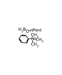 BOCCCCC.C[N+](C)(C)c1ccccc1